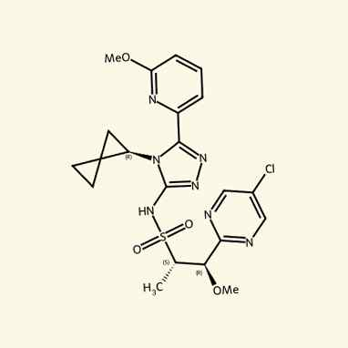 COc1cccc(-c2nnc(NS(=O)(=O)[C@@H](C)[C@H](OC)c3ncc(Cl)cn3)n2[C@@H]2CC23CC3)n1